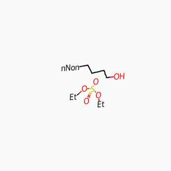 CCCCCCCCCCCCCO.CCOS(=O)(=O)OCC